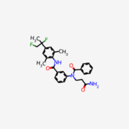 Cc1cc(C(C)(F)CF)cc(C)c1NC(=O)c1cccc(N(CCC(N)=O)C(=O)c2ccccc2)c1